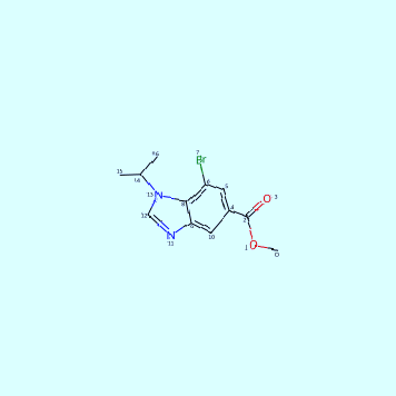 COC(=O)c1cc(Br)c2c(c1)ncn2C(C)C